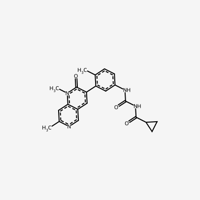 Cc1cc2c(cn1)cc(-c1cc(NC(=O)NC(=O)C3CC3)ccc1C)c(=O)n2C